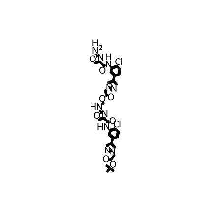 CC(C)(C)OC(=O)Cn1cc(-c2ccc(Cl)c(NC(=O)c3coc(NCOC(=O)Cn4cc(-c5ccc(Cl)c(NC(=O)c6coc(N)n6)c5)cn4)n3)c2)cn1